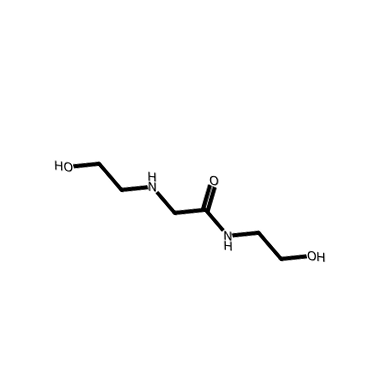 O=C(CNCCO)NCCO